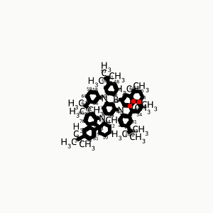 CC(C)(C)c1ccc(C23CCCCC2(C)N(c2cc4c5c(c2)N(c2ccc(C(C)(C)C)cc2-c2ccccc2)c2cc6c(cc2B5c2ccc(C(C)(C)C)cc2N4c2cccc(C(C)(C)C)c2)C(C)(C)CCC6(C)C)c2ccccc23)cc1